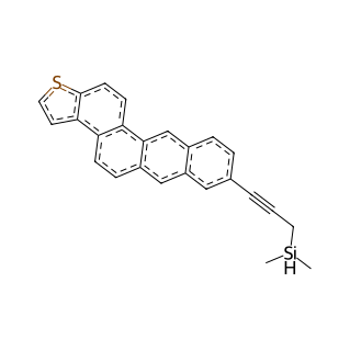 C[SiH](C)CC#Cc1ccc2cc3c(ccc4c5ccsc5ccc34)cc2c1